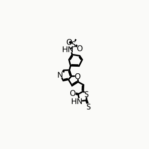 CS(=O)(=O)Nc1cccc(-c2cncc3cc(C=C4SC(=S)NC4=O)oc23)c1